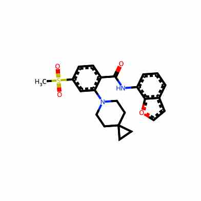 CS(=O)(=O)c1ccc(C(=O)Nc2cccc3ccoc23)c(N2CCC3(CC2)CC3)c1